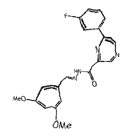 COc1cc(C=NNC(=O)c2cncc(-c3cccc(F)c3)n2)cc(OC)c1